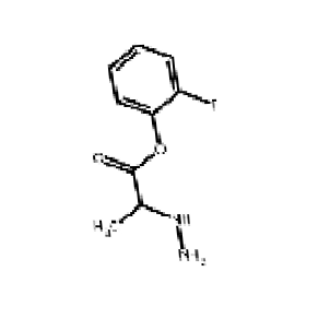 CC(NN)C(=O)Oc1ccccc1F